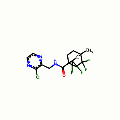 CC12CCC(C(=O)NCc3nccnc3Cl)(CC1(F)F)C(F)(F)C2